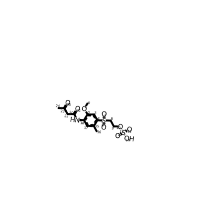 COc1cc(S(=O)(=O)CCOS(=O)(=O)O)c(C)cc1NC(=O)CC(C)=O